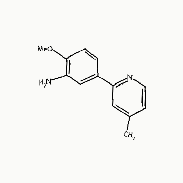 COc1ccc(-c2cc(C)ccn2)cc1N